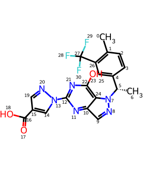 Cc1ccc([C@H](C)n2ncc3nc(-n4cc(C(=O)O)cn4)nc(O)c32)cc1C(F)(F)F